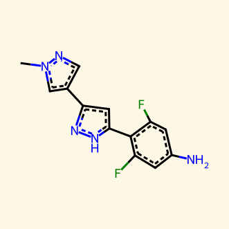 Cn1cc(-c2cc(-c3c(F)cc(N)cc3F)[nH]n2)cn1